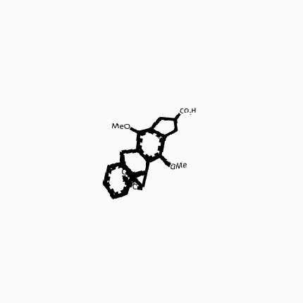 COc1c2c(c(OC)c3c1C1c4ccccc4C34c3cccc1c34)CC(C(=O)O)C2